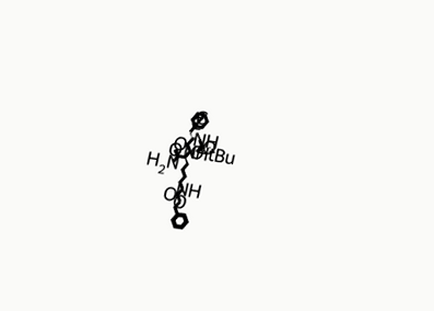 CC(C)(C)OC(=O)N[C@@H](CC12CCC(CC1)CC2)C(=O)N[C@@H](CCCCNC(=O)OCc1ccccc1)C(N)=O